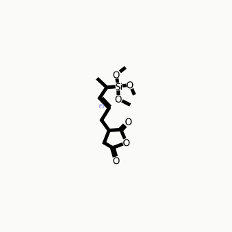 CO[Si](OC)(OC)C(C)/C=C/CC1CC(=O)OC1=O